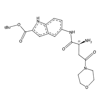 CC(C)(C)OC(=O)c1cc2cc(NC(=O)[C@@H](N)CC(=O)N3CCOCC3)ccc2[nH]1